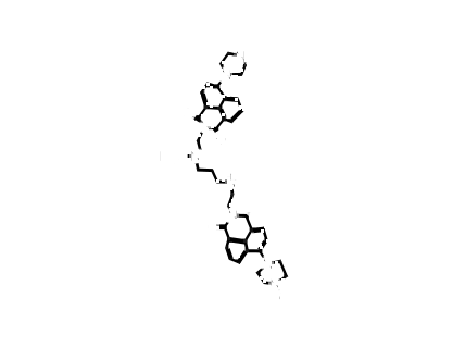 CN(CCCN(C)CCN1C(=O)c2cccc3c(N4CCN(C)CC4)ccc(c23)C1=O)CCN1C(=O)c2cccc3c(N4CCNCC4)ccc(c23)C1=O